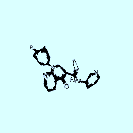 O=C(Nc1cccnc1)c1cn(-c2ccc(F)cc2)c2ncccc2c1=O